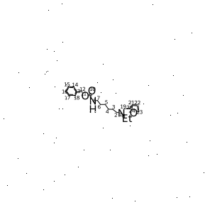 CCN(CCCCCCNC(=O)OCc1ccccc1)Cc1ccco1